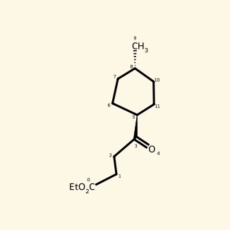 CCOC(=O)CCC(=O)[C@H]1CC[C@H](C)CC1